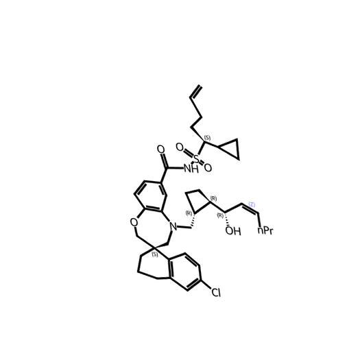 C=CCC[C@@H](C1CC1)S(=O)(=O)NC(=O)c1ccc2c(c1)N(C[C@@H]1CC[C@H]1[C@@H](O)/C=C\CCC)C[C@@]1(CCCc3cc(Cl)ccc31)CO2